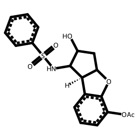 CC(=O)Oc1cccc2c1OC1CC(O)C(NS(=O)(=O)c3ccccc3)[C@H]21